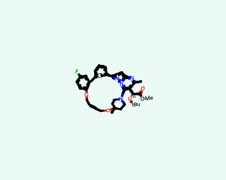 COC(=O)[C@@H](OC(C)(C)C)c1c(C)nc2cc3nn2c1N1CCC(C)(CC1)OCC=CCOc1ccc(F)cc1-c1cccc-3c1